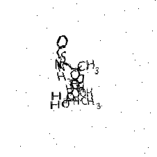 CC[C@H]1[C@@H](O)[C@@H]2[C@H](CC[C@]3(C)[C@@H]([C@H](C)CCc4nnc(Cc5ccccc5)s4)CC[C@@H]23)[C@@]2(C)CC[C@@H](O)C[C@@H]12